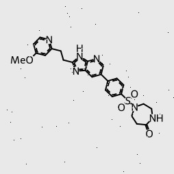 COc1ccnc(CCc2nc3cc(-c4ccc(S(=O)(=O)N5CCNC(=O)CC5)cc4)cnc3[nH]2)c1